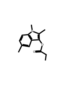 CCC(=O)Oc1c(C)n(C)c2ccc(C)cc12